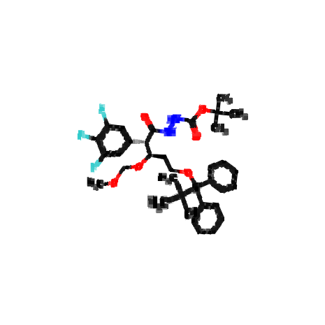 COCO[C@H](CCO[Si](c1ccccc1)(c1ccccc1)C(C)(C)C)[C@@H](C(=O)NNC(=O)OC(C)(C)C)c1cc(F)c(F)c(F)c1